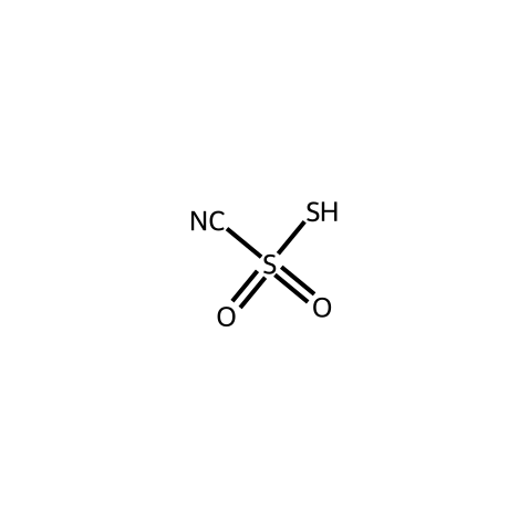 N#CS(=O)(=O)S